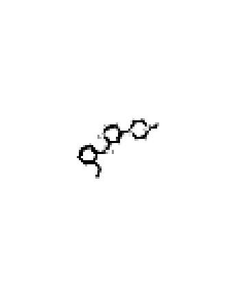 CCc1ccccc1Nc1cc(N2CCN(C)CC2)ccn1